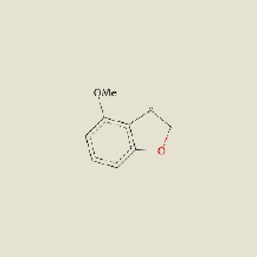 COc1cccc2c1[C]CO2